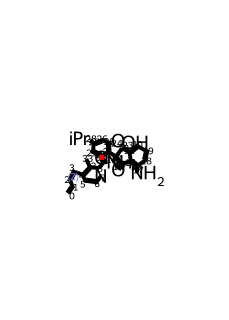 C=C/C=C\c1ccnc(C(=O)NC23C(=O)c4c(N)cccc4C2(O)Oc2cc(C(C)C)ccc23)c1C